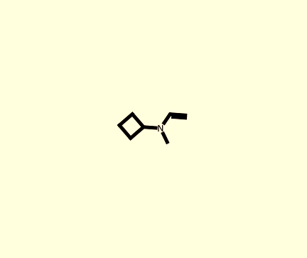 C=CN(C)C1CCC1